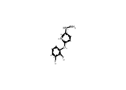 NNc1ccc(Oc2cccc(F)c2F)nc1